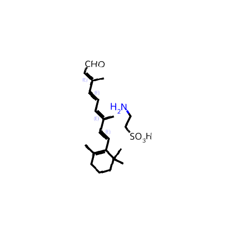 CC1=C(/C=C/C(C)=C/C=C/C(C)=C/C=O)C(C)(C)CCC1.NCCS(=O)(=O)O